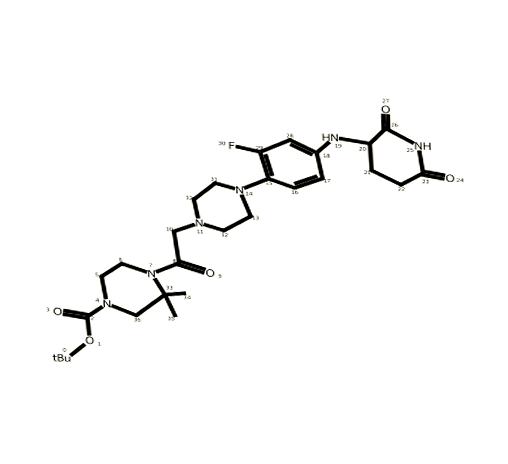 CC(C)(C)OC(=O)N1CCN(C(=O)CN2CCN(c3ccc(NC4CCC(=O)NC4=O)cc3F)CC2)C(C)(C)C1